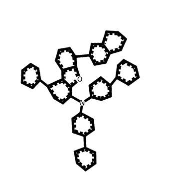 c1ccc(-c2ccc(N(c3ccc(-c4ccccc4)cc3)c3ccc(-c4ccccc4)c4c3oc3c(-c5ccc6ccccc6c5)cccc34)cc2)cc1